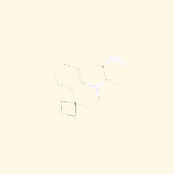 CC(C(N)=O)N1CCC2(CCC2)c2ccccc21